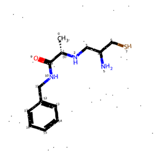 C[C@H](NCC(N)CS)C(=O)NCc1ccccc1